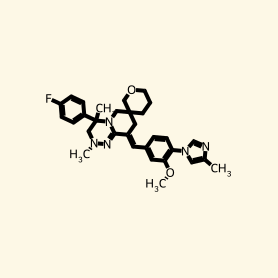 COc1cc(/C=C2\CC3(CCCOC3)CN3C2=NN(C)CC3(C)c2ccc(F)cc2)ccc1-n1cnc(C)c1